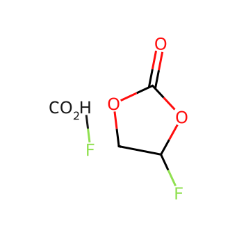 O=C(O)F.O=C1OCC(F)O1